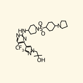 CC(C)(O)Cn1cc(-c2nc(NC3CCN(S(=O)(=O)C4CCC(N5CCCC5)CC4)CC3)ncc2C(F)(F)F)cn1